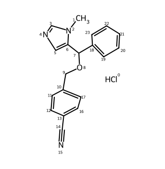 Cl.Cn1cncc1C(OCc1ccc(C#N)cc1)c1ccccc1